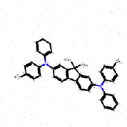 CCCCCCCCC1(CCCCCCCC)c2cc(N(C3=CCCC=C3)c3ccc(C)cc3)ccc2-c2ccc(N(c3ccccc3)c3ccc(C)cc3)cc21